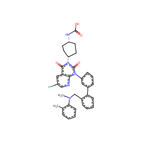 Cc1ccccc1N(C)Cc1ccccc1-c1cccc(-n2c(=O)n([C@H]3CC[C@@H](NC(=O)O)CC3)c(=O)c3cc(F)cnc32)c1